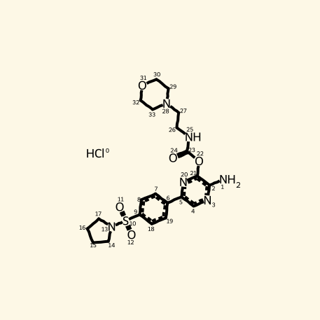 Cl.Nc1ncc(-c2ccc(S(=O)(=O)N3CCCC3)cc2)nc1OC(=O)NCCN1CCOCC1